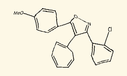 COc1ccc(-c2onc(-c3ccccc3Cl)c2-c2ccccc2)cc1